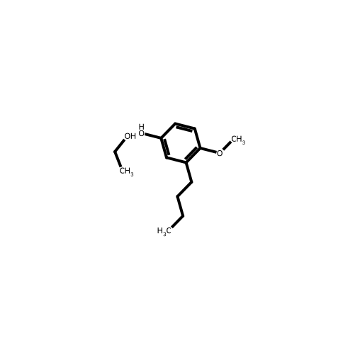 CCCCc1cc(O)ccc1OC.CCO